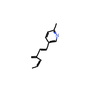 C=C(/C=C\C)/C=C/c1ccc(C)nc1